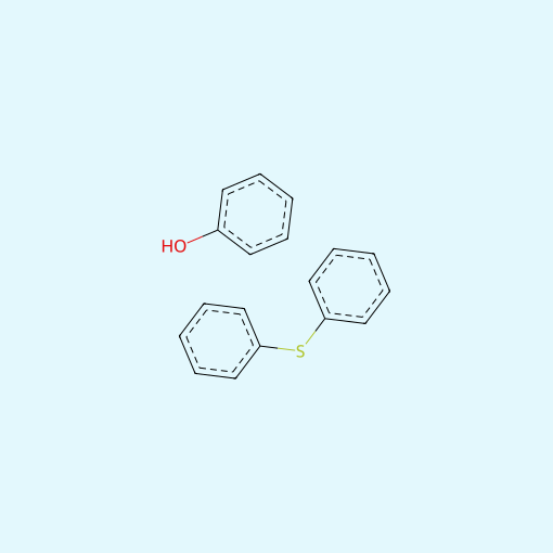 Oc1ccccc1.c1ccc(Sc2ccccc2)cc1